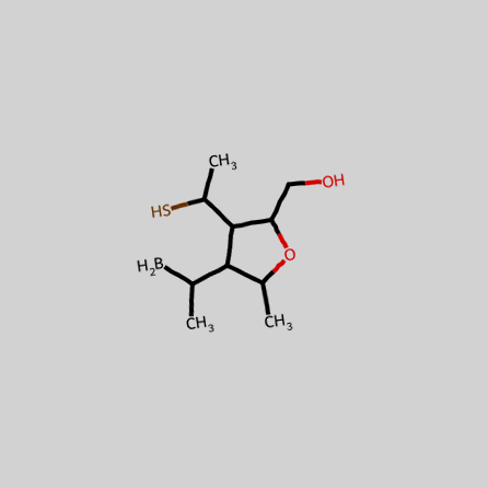 BC(C)C1C(C)OC(CO)C1C(C)S